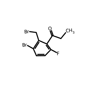 CCC(=O)c1c(F)ccc(Br)c1CBr